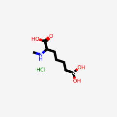 CNC(CCCCB(O)O)C(=O)O.Cl